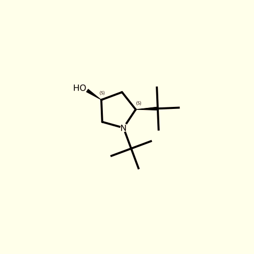 CC(C)(C)[C@@H]1C[C@H](O)CN1C(C)(C)C